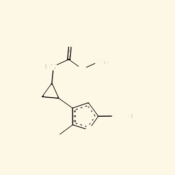 Cc1sc(C(=O)O)cc1C1CC1NC(=O)OC(C)(C)C